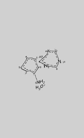 Nc1ccccc1.O.c1ncncn1